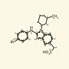 CC1CCCC(n2c(Nc3ccc(C(C)C)cc3)nc3cc(CC(=O)O)ccc32)C1